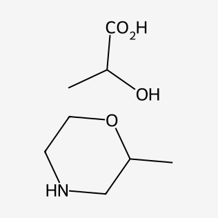 CC(O)C(=O)O.CC1CNCCO1